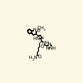 COc1nc2ccccc2cc1-c1cnc([C@H](CCCCCC(N)=O)NC(=O)c2nc[nH]n2)[nH]1